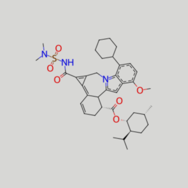 COc1ccc(C2CCCCC2)c2c1cc1n2CC2=C(C(=O)NS(=O)(=O)N(C)C)C2=C2C=CC[C@@H](C(=O)O[C@@H]3C[C@H](C)CC[C@H]3C(C)C)C21